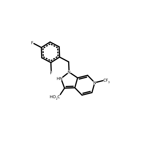 O=C(O)C1=C2C=CN(C(F)(F)F)C=C2N(Cc2ccc(F)cc2F)N1